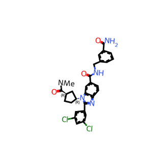 CNC(=O)[C@@H]1CC[C@@H](n2c(-c3cc(Cl)cc(Cl)c3)nc3ccc(C(=O)NCc4cccc(C(N)=O)c4)cc32)C1